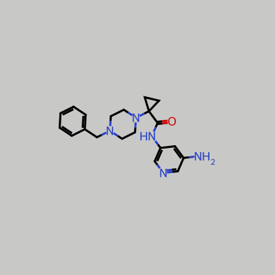 Nc1cncc(NC(=O)C2(N3CCN(Cc4ccccc4)CC3)CC2)c1